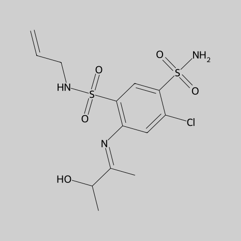 C=CCNS(=O)(=O)c1cc(S(N)(=O)=O)c(Cl)cc1N=C(C)C(C)O